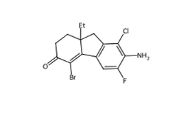 CCC12CCC(=O)C(Br)=C1c1cc(F)c(N)c(Cl)c1C2